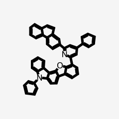 c1ccc(-c2cc(-c3ccc4c(ccc5ccccc54)c3)nc(-c3cccc4c3oc3c4ccc4c3c3ccccc3n4-c3ccccc3)c2)cc1